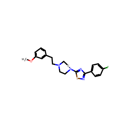 COc1cccc(CCN2CCN(c3nc(-c4ccc(F)cc4)ns3)CC2)c1